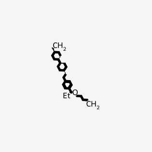 C=CCCCOC(CC)c1ccc(CC[C@H]2CC[C@H]([C@H]3CC[C@H](C=C)CC3)CC2)cc1